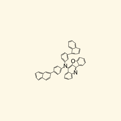 c1cc(-c2cccc3ccccc23)cc(N(c2ccc(-c3ccc4ccccc4c3)cc2)c2c3ccccc3nc3c2oc2ccccc23)c1